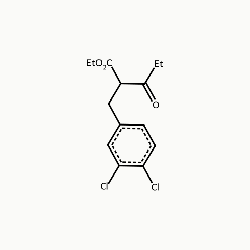 CCOC(=O)C(Cc1ccc(Cl)c(Cl)c1)C(=O)CC